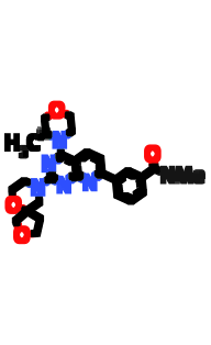 CNC(=O)c1cccc(-c2ccc3c(N4CCOC[C@@H]4C)nc(N4CCOC5(CCOC5)C4)nc3n2)c1